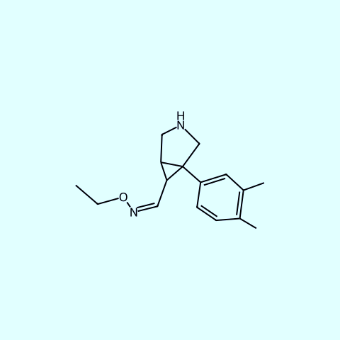 CCO/N=C\C1C2CNCC12c1ccc(C)c(C)c1